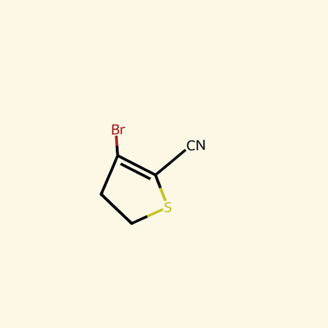 N#CC1=C(Br)CCS1